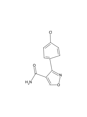 NC(=O)c1[c]onc1-c1ccc(Cl)cc1